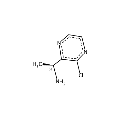 C[C@H](N)c1nccnc1Cl